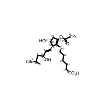 CCCC[C@H](C)C[C@H](O)C=C[C@@H]1C(SCCCCCC(=O)O)=C(OC(=O)CCC)C[C@H]1O